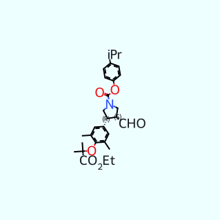 CCOC(=O)C(C)(C)Oc1c(C)cc([C@@H]2CN(C(=O)Oc3ccc(C(C)C)cc3)C[C@H]2C=O)cc1C